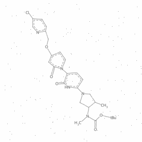 CC1CN(c2ccc(-n3ccc(OCc4ccc(Cl)cn4)cc3=O)c(=O)[nH]2)CC1N(C)C(=O)OC(C)(C)C